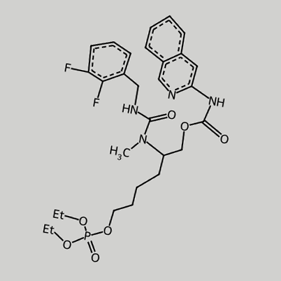 CCOP(=O)(OCC)OCCCCC(COC(=O)Nc1cc2ccccc2cn1)N(C)C(=O)NCc1cccc(F)c1F